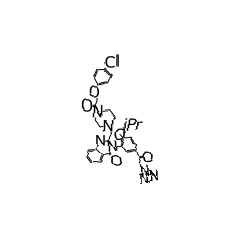 CC(C)Oc1ccc(C(=O)Cn2cncn2)cc1-n1c(CN2CCN(C(=O)COc3ccc(Cl)cc3)CC2)nc2ccccc2c1=O